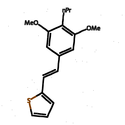 CCCc1c(OC)cc(C=Cc2cccs2)cc1OC